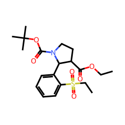 CCOC(=O)C1CCN(C(=O)OC(C)(C)C)C1c1ccccc1S(=O)(=O)CC